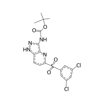 CC(C)(C)OC(=O)Nc1n[nH]c2ccc(S(=O)(=O)c3cc(Cl)cc(Cl)c3)nc12